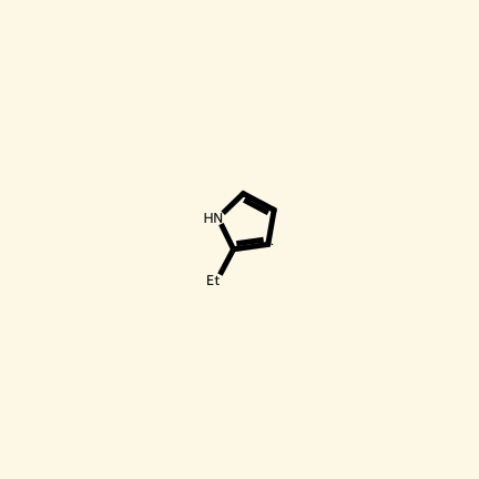 CCc1[c]cc[nH]1